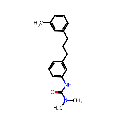 Cc1cccc(CCCc2cccc(NC(=O)N(C)C)c2)c1